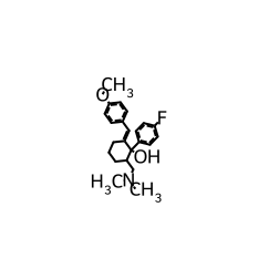 COc1ccc(/C=C2\CCCC(CN(C)C)C2(O)c2ccc(F)cc2)cc1